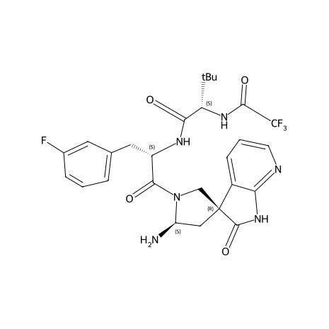 CC(C)(C)[C@H](NC(=O)C(F)(F)F)C(=O)N[C@@H](Cc1cccc(F)c1)C(=O)N1C[C@]2(C[C@H]1N)C(=O)Nc1ncccc12